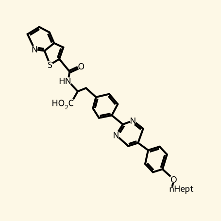 CCCCCCCOc1ccc(-c2cnc(-c3ccc(CC(NC(=O)c4cc5cccnc5s4)C(=O)O)cc3)nc2)cc1